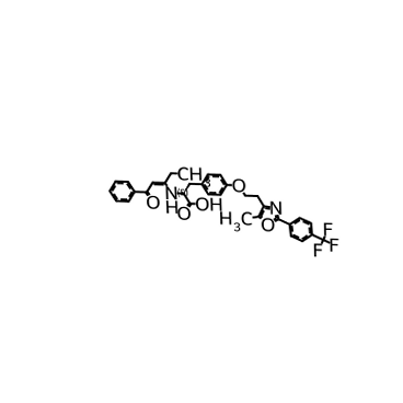 CCC(=CC(=O)c1ccccc1)N[C@@H](Cc1ccc(OCCc2nc(-c3ccc(C(F)(F)F)cc3)oc2C)cc1)C(=O)O